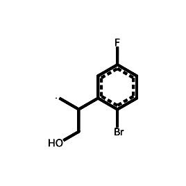 [CH2]C(CO)c1cc(F)ccc1Br